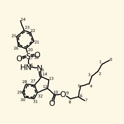 CCCCCCC(C)COC(=O)C1C/C(=N/NS(=O)(=O)c2ccc(C)cc2)c2ccccc21